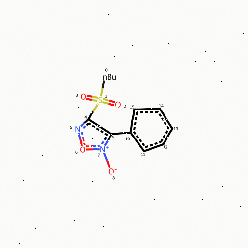 CCCCS(=O)(=O)c1no[n+]([O-])c1-c1ccccc1